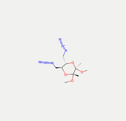 CO[C@]1(C)O[C@@H](CN=[N+]=[N-])[C@H](CN=[N+]=[N-])O[C@@]1(C)OC